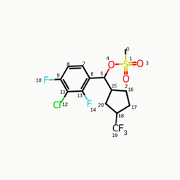 CS(=O)(=O)OC(c1ccc(F)c(Cl)c1F)C1CCC(C(F)(F)F)C1